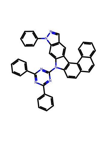 c1ccc(-c2nc(-c3ccccc3)nc(-n3c4cc5c(cnn5-c5ccccc5)cc4c4c5c(ccc6ccccc65)ccc43)n2)cc1